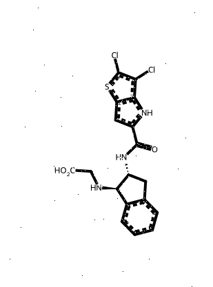 O=C(O)CN[C@@H]1c2ccccc2C[C@H]1NC(=O)c1cc2sc(Cl)c(Cl)c2[nH]1